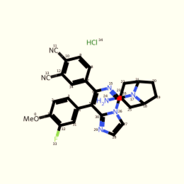 COc1ccc(-c2c(-c3ccc(C#N)c(C#N)c3)nc(N3C4CCC3CC(N)C4)n3ccnc23)cc1F.Cl